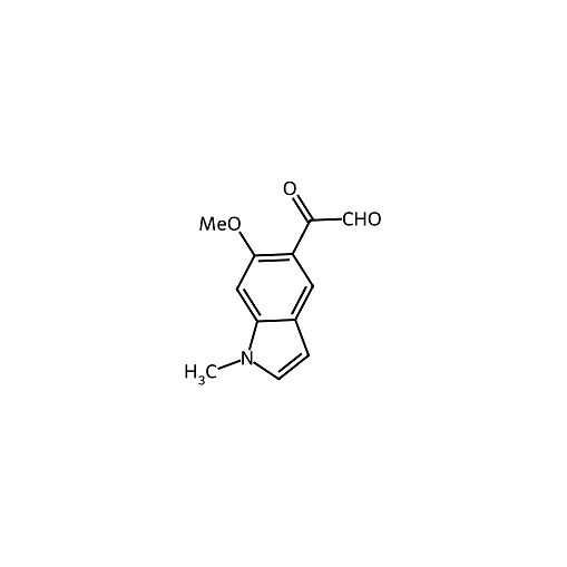 COc1cc2c(ccn2C)cc1C(=O)C=O